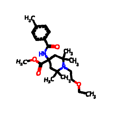 CCOCCN1C(C)(C)CC(NC(=O)c2ccc(C)cc2)(C(=O)OC)CC1(C)C